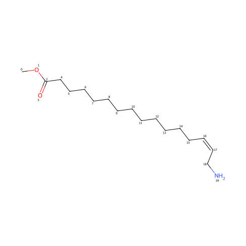 COC(=O)CCCCCCCCCCCC/C=C\CN